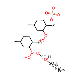 CC1CCC(C(C)C)C(OO)C1.CC1CCC(C(C)C)C(OO)C1.O=S(=O)([O-])O.O=S(=O)([O-])O.O=S(=O)([O-])[O-].[Fe+2].[Na+].[Na+]